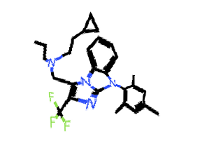 CCCN(CCC1CC1)Cc1c(C(F)(F)F)nc2n(-c3c(C)cc(C)cc3C)c3ccccc3n12